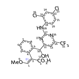 CO/C=C(/C(=O)O)c1ccccc1C(O)c1cc(C(F)(F)F)nc(Nc2ccc(Cl)cc2Cl)n1